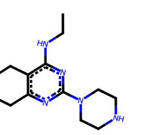 CCNc1nc(N2CCNCC2)nc2c1CCCC2